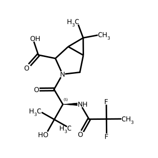 CC(F)(F)C(=O)N[C@H](C(=O)N1CC2C(C1C(=O)O)C2(C)C)C(C)(C)O